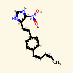 C/C=C\C=C/c1ccc(/C=C/c2[nH]cnc2[N+](=O)[O-])cc1